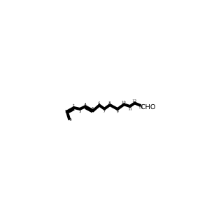 C/C=C\C/C=C/CCCCCCCC=O